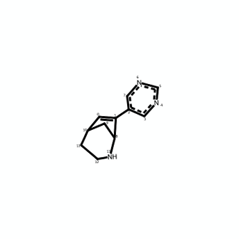 C1=C(c2cncnc2)C2CC1CCN2